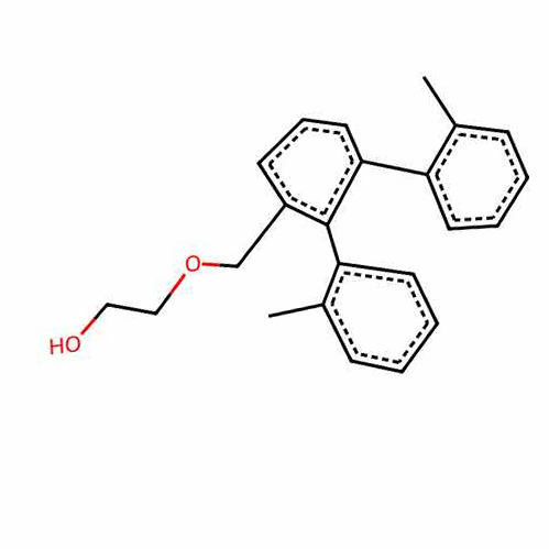 Cc1ccccc1-c1cccc(COCCO)c1-c1ccccc1C